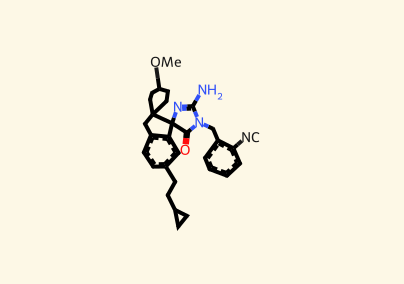 [C-]#[N+]c1ccccc1CN1C(=O)C2(N=C1N)c1cc(CCC3CC3)ccc1CC21CCC(OC)CC1